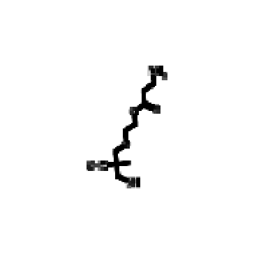 CC(C=O)(CS)COCCOC(=O)CCN